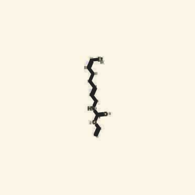 C=COC(=O)NC/C=C/CC/C=C\CC